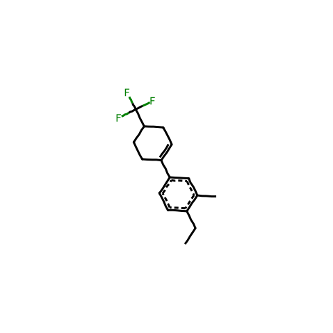 CCc1ccc(C2=CCC(C(F)(F)F)CC2)cc1C